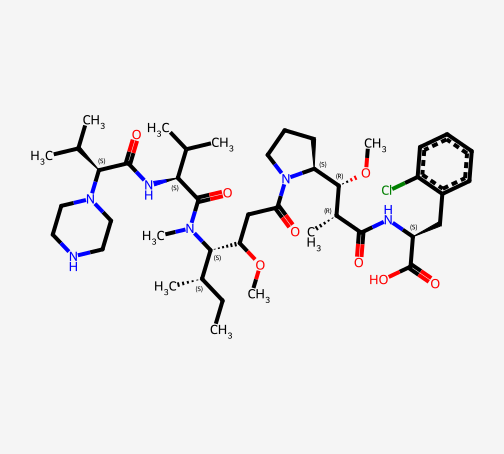 CC[C@H](C)[C@@H](C(CC(=O)N1CCC[C@H]1[C@H](OC)[C@@H](C)C(=O)N[C@@H](Cc1ccccc1Cl)C(=O)O)OC)N(C)C(=O)[C@@H](NC(=O)[C@H](C(C)C)N1CCNCC1)C(C)C